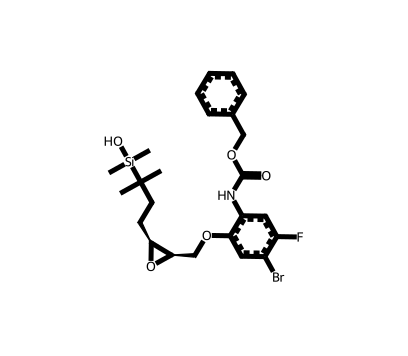 CC(C)(CC[C@@H]1O[C@@H]1COc1cc(Br)c(F)cc1NC(=O)OCc1ccccc1)[Si](C)(C)O